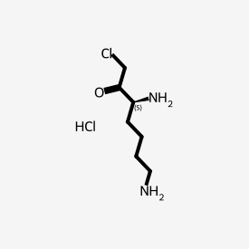 Cl.NCCCC[C@H](N)C(=O)CCl